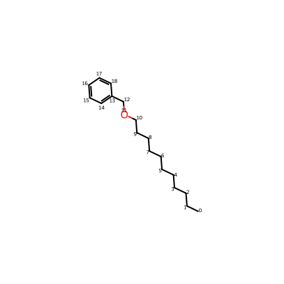 CCCCCCCCCCCOCc1ccccc1